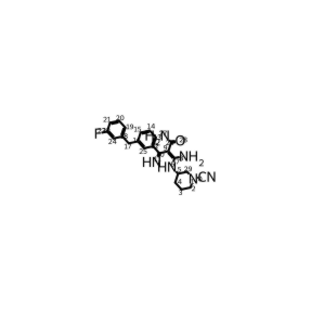 N#CN1CCCC(N/C(N)=C(\C(=N)c2cccc(Cc3cccc(F)c3)c2)C(N)=O)C1